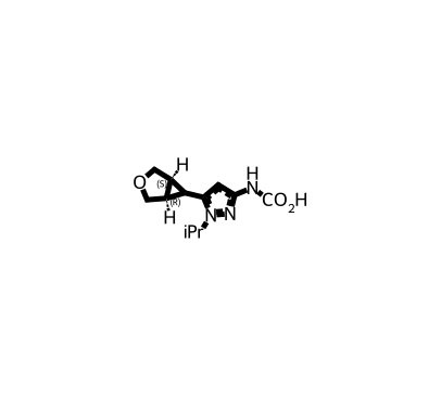 CC(C)n1nc(NC(=O)O)cc1C1[C@H]2COC[C@@H]12